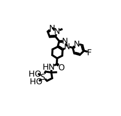 Cn1nccc1-c1nn(-c2ccc(F)cn2)c2c1CCC(C(=O)NC1(C)CCS(O)(O)C1)C2